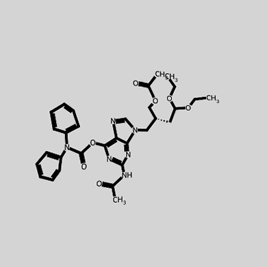 CCOC(C[C@@H](COC(C)=O)Cn1cnc2c(OC(=O)N(c3ccccc3)c3ccccc3)nc(NC(C)=O)nc21)OCC